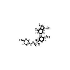 CCCc1nn(C)c2c(=O)[nH]c(-c3cc(S(=O)(=O)N(C)CCN4CCN(CC)CC4)ccc3OCC)cc12